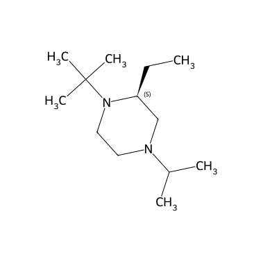 CC[C@H]1CN(C(C)C)CCN1C(C)(C)C